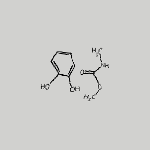 CNC(=O)OC.Oc1ccccc1O